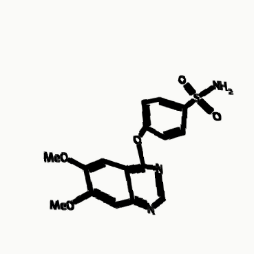 COc1cc2ncnc(Oc3ccc(S(N)(=O)=O)cc3)c2cc1OC